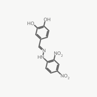 O=[N+]([O-])c1ccc(NN=Cc2ccc(O)c(O)c2)c([N+](=O)[O-])c1